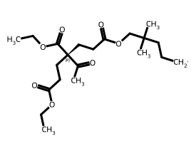 [CH2]CCC(C)(C)COC(=O)CC[C@](CCC(=O)OCC)(C(C)=O)C(=O)OCC